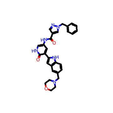 O=C(Nc1c[nH]c(=O)c(-c2cc3cc(CN4CCOCC4)ccc3[nH]2)c1)c1cnn(Cc2ccccc2)c1